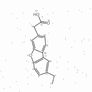 CCc1ccc2oc3cc(CC(=O)O)ccc3c2c1